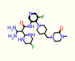 CN1CCN(CC2CCN(c3c(F)cncc3NC(=O)C(C(N)N)C3NCC(F)CN3)CC2)CC1=O